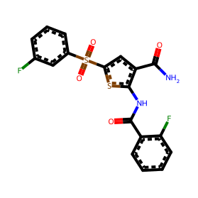 NC(=O)c1cc(S(=O)(=O)c2cccc(F)c2)sc1NC(=O)c1ccccc1F